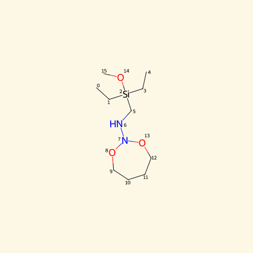 CC[Si](CC)(CNN1OCCCCO1)OC